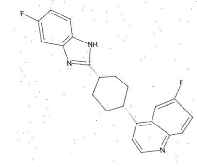 Fc1ccc2[nH]c([C@H]3CC[C@@H](c4ccnc5ccc(F)cc54)CC3)nc2c1